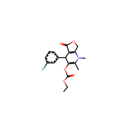 CCOC(=O)OC1=C(C)N(C)C2=C(C(=O)OC2)C1c1cccc(Cl)c1